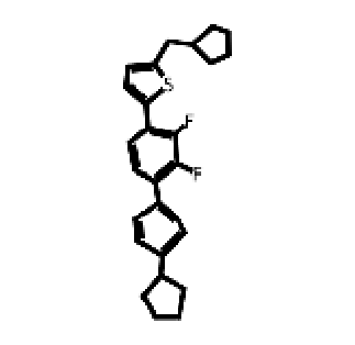 Fc1c(-c2ccc(C3CCCC3)cc2)ccc(-c2ccc(CC3CCCC3)s2)c1F